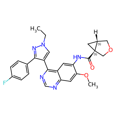 CCn1cc(-c2ncnc3cc(OC)c(NC(=O)[C@]45COC[C@H]4C5)cc23)c(-c2ccc(F)cc2)n1